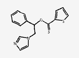 S=C(OC(Cn1ccnc1)c1ccccc1)c1cccs1